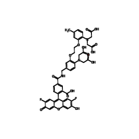 Cc1ccc(N(CC(=O)O)CC(=O)O)c(OCCOc2cc(CNC(=O)c3ccc(-c4c5cc(F)c(=O)cc-5oc5cc(O)c(F)cc45)c(C(=O)O)c3)ccc2N(CC(=O)O)CC(=O)O)c1